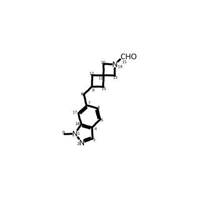 Cn1ncc2ccc(CC3CC4(C3)CN(C=O)C4)cc21